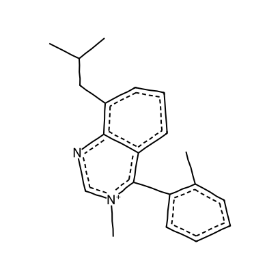 Cc1ccccc1-c1c2cccc(CC(C)C)c2nc[n+]1C